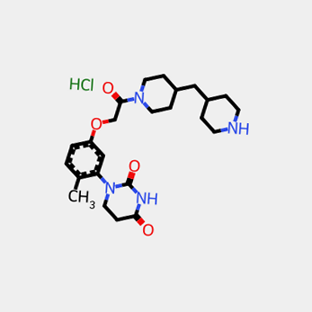 Cc1ccc(OCC(=O)N2CCC(CC3CCNCC3)CC2)cc1N1CCC(=O)NC1=O.Cl